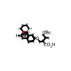 CC(CC(C)(C)C)C(COc1ccc2c(c1)[C@@]13CCCC[C@H]1[C@@H](C2)NCC3)C(=O)O